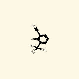 C#Cc1cccc(C(C)(C)C)c1F